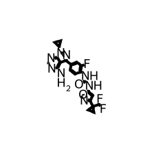 Nc1ncnc2c1c(-c1ccc(NC(=O)Nc3cc(C4(C(F)F)CC4)no3)c(F)c1)nn2C1CC1